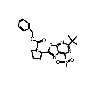 CC(C)(C)c1nc(S(C)(=O)=O)c2nc(C3CCCN3C(=O)OCc3ccccc3)sc2n1